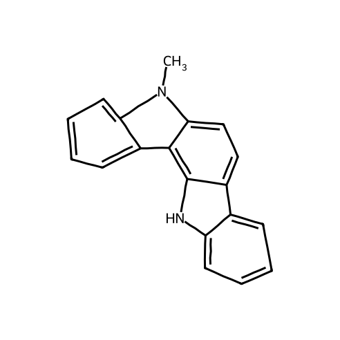 Cn1c2ccccc2c2c3[nH]c4ccccc4c3ccc21